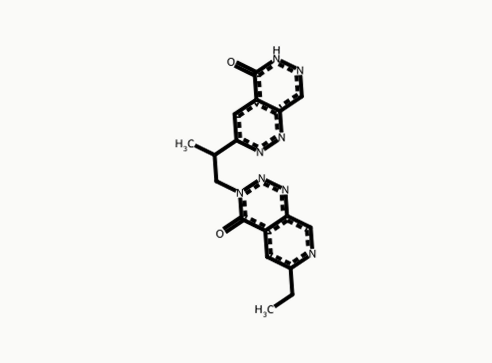 CCc1cc2c(=O)n(CC(C)c3cc4c(=O)[nH]ncc4nn3)nnc2cn1